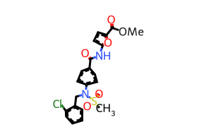 COC(=O)c1ccc(NC(=O)c2ccc(N(Cc3ccccc3Cl)S(C)(=O)=O)cc2)o1